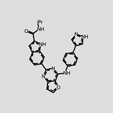 CC(C)NC(=O)c1cc2ccc(-c3nc(Nc4ccc(-c5cn[nH]c5)cc4)c4occc4n3)cc2[nH]1